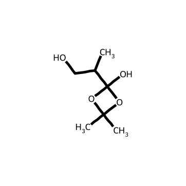 CC(CO)C1(O)OC(C)(C)O1